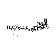 CC(C)C(=O)SCCCCCCCOc1ccc(-c2cc3cncc(C#N)c3oc2=O)cc1